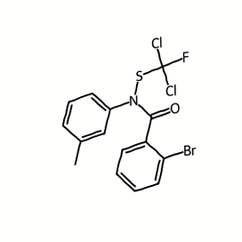 Cc1cccc(N(SC(F)(Cl)Cl)C(=O)c2ccccc2Br)c1